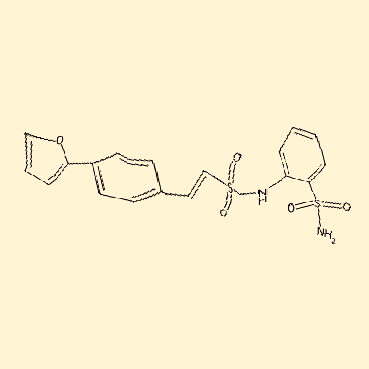 NS(=O)(=O)c1ccccc1NS(=O)(=O)C=Cc1ccc(-c2ccco2)cc1